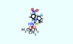 CC(C)(C)OC(=O)NC1=N[C@@]2(c3cc([N+](=O)[O-])ccc3F)C[C@@H](F)C[C@H]2CS1